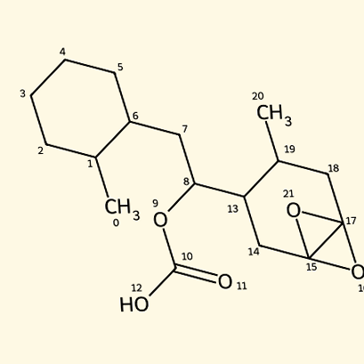 CC1CCCCC1CC(OC(=O)O)C1CC23OC2(CC1C)O3